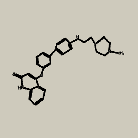 CN1CCN(CCNc2ccc(-c3cccc(Oc4cc(=O)[nH]c5ccccc45)c3)cc2)CC1